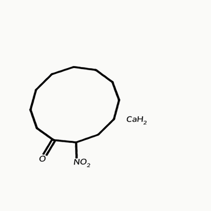 O=C1CCCCCCCCCCC1[N+](=O)[O-].[CaH2]